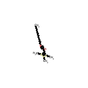 CCCCCCCCCCCCCCCCCCCOc1ccc(C(=O)C=Cc2cc(SCCCC)c(SCCCC)c(SCCCC)c2)cc1